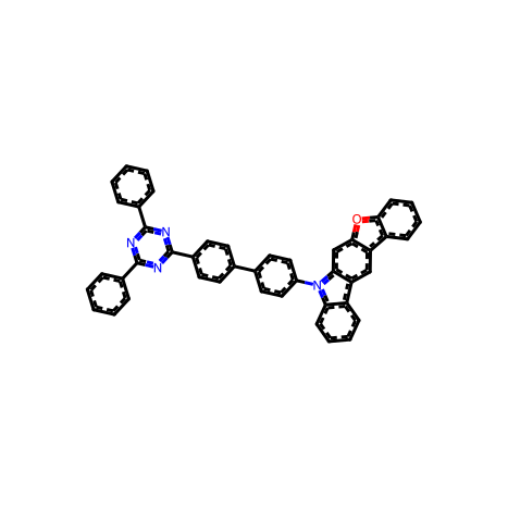 c1ccc(-c2nc(-c3ccccc3)nc(-c3ccc(-c4ccc(-n5c6ccccc6c6cc7c(cc65)oc5ccccc57)cc4)cc3)n2)cc1